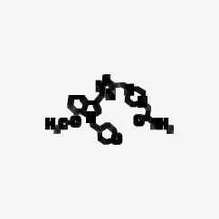 COc1cccc2c(-c3nsc(CN4CCN(CC(N)=O)CC4)n3)cn(CC3CCOCC3)c12